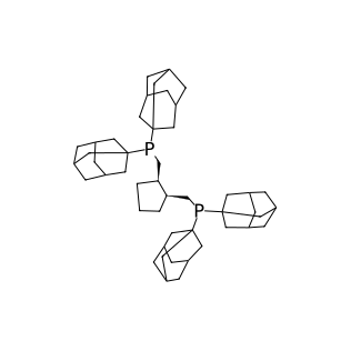 C1C[C@H](CP(C23CC4CC(CC(C4)C2)C3)C23CC4CC(CC(C4)C2)C3)[C@H](CP(C23CC4CC(CC(C4)C2)C3)C23CC4CC(CC(C4)C2)C3)C1